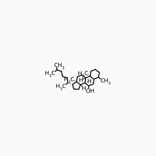 CC(C)CCCC(C)[C@H]1CC[C@H]2[C@@H]3C(O)CC4C(C)CCC[C@]4(C)[C@H]3CC[C@]12C